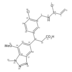 C=C[S+]([O-])NCc1cc(C(CC(=O)O)c2cc(OC)c3c(c2)nnn3C)ccc1Cl